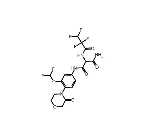 NC(=O)[C@H](NC(=O)C(F)(F)C(F)F)C(=O)Nc1ccc(N2CCOCC2=O)c(OC(F)F)c1